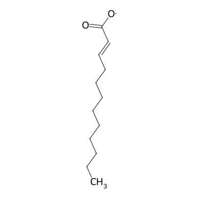 CCCCCCCCCC=CC([O])=O